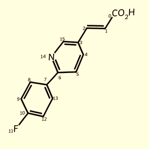 O=C(O)C=Cc1ccc(-c2ccc(F)cc2)nc1